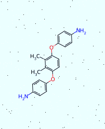 Cc1c(Oc2ccc(N)cc2)ccc(Oc2ccc(N)cc2)c1C